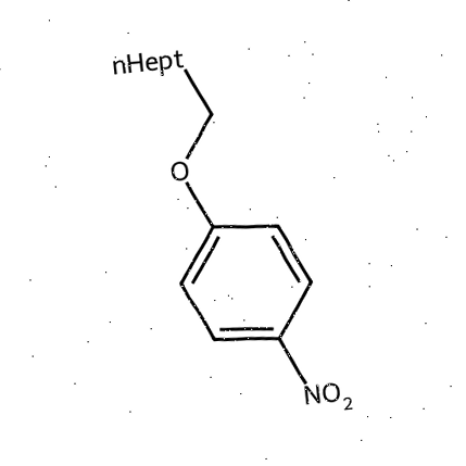 [CH2]CCCCCCCOc1ccc([N+](=O)[O-])cc1